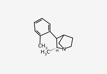 Cc1ccccc1C1C2CCN(C2)[C@@H]1C